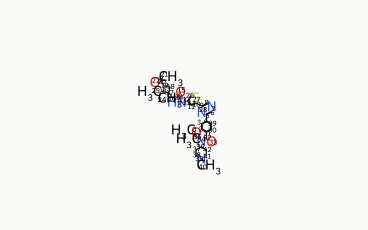 COc1cc(-c2cncc(-c3cc(NC(=O)CC4CC(C(C)=O)C4(C)C)cs3)n2)ccc1C(=O)N(C)C1CCN(C)CC1